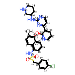 Cc1ccc2c(NS(=O)(=O)Cc3ccc(Cl)cc3)cccc2c1Oc1ncccc1-c1ccnc(NC2CCCNC2)n1